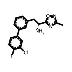 Cc1noc([C@H](N)Cc2cccc(-c3ccc(F)c(Cl)c3)c2)n1